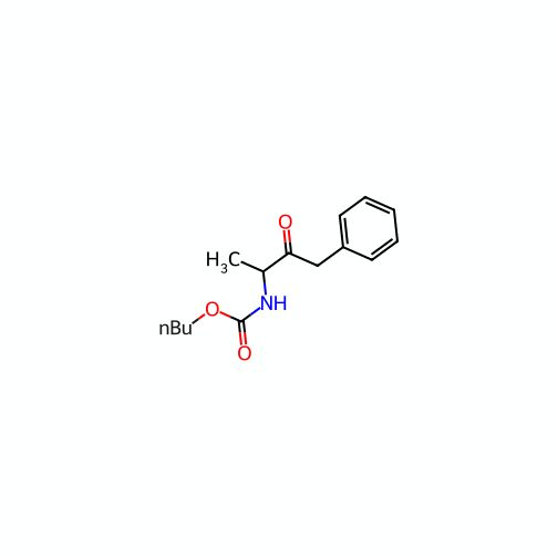 CCCCOC(=O)NC(C)C(=O)Cc1ccccc1